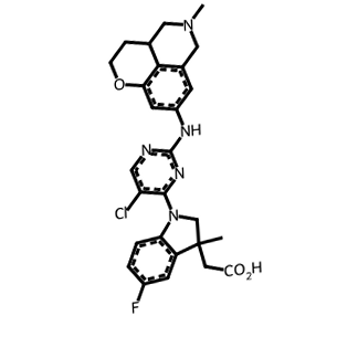 CN1Cc2cc(Nc3ncc(Cl)c(N4CC(C)(CC(=O)O)c5cc(F)ccc54)n3)cc3c2C(CCO3)C1